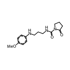 COc1ccc(NCCCNC(=O)N2CCCC2=O)cc1